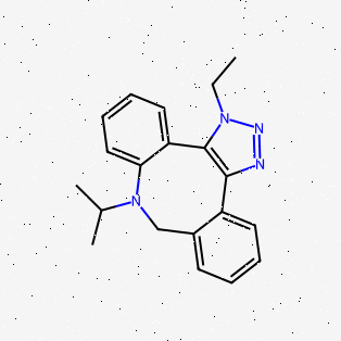 CCn1nnc2c1-c1ccccc1N(C(C)C)Cc1ccccc1-2